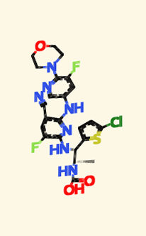 C[C@H](NC(=O)O)[C@H](Nc1nc(Nc2cnc(N3CCOCC3)c(F)c2)c(C#N)cc1F)c1ccc(Cl)s1